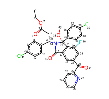 CCOC(=O)C[C@@H](c1ccc(Cl)cc1)N1C(=O)c2cc(C(=O)c3ccccn3)cc(F)c2[C@]1(OC)c1ccc(Cl)cc1